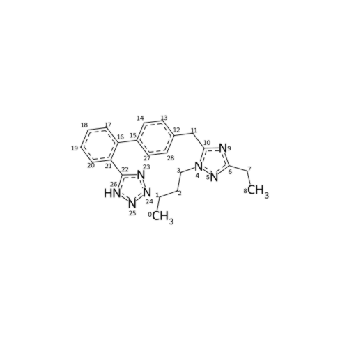 CCCCn1nc(CC)nc1Cc1ccc(-c2ccccc2-c2nnn[nH]2)cc1